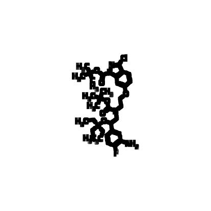 CC[Si](CC)(CC)OC(CN(CCOc1ccc2c(Cl)nn(C(=O)OC(C)(C)C)c2c1)C(=O)OC(C)(C)C)c1ccc(F)c(N)c1